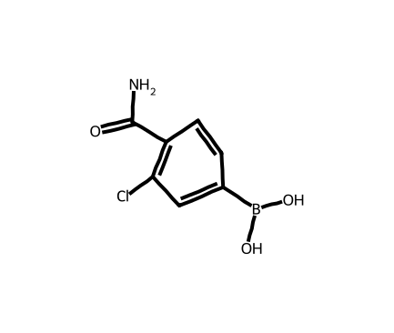 NC(=O)c1ccc(B(O)O)cc1Cl